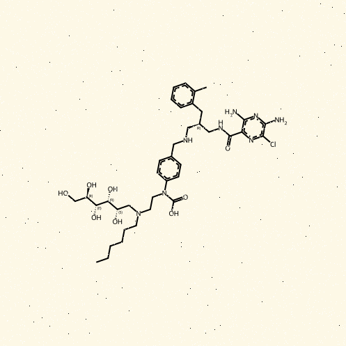 CCCCCCN(CCN(C(=O)O)c1ccc(CNC[C@H](CNC(=O)c2nc(Cl)c(N)nc2N)Cc2ccccc2C)cc1)C[C@H](O)[C@@H](O)[C@H](O)[C@H](O)CO